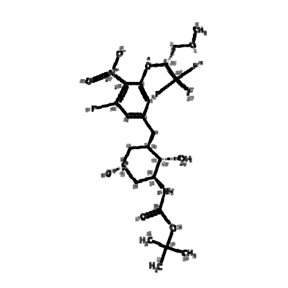 COC[C@@H](Oc1cc(C[C@@H]2C[S@@+]([O-])C[C@H](NC(=O)OC(C)(C)C)[C@H]2O)cc(F)c1[N+](=O)[O-])C(F)(F)F